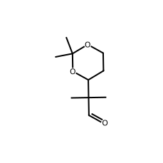 CC1(C)OCCC(C(C)(C)C=O)O1